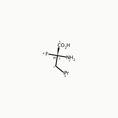 CC(C)C[C@@](N)(F)C(=O)O